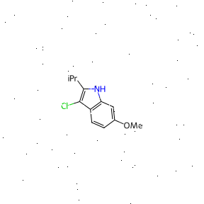 COc1ccc2c(Cl)c(C(C)C)[nH]c2c1